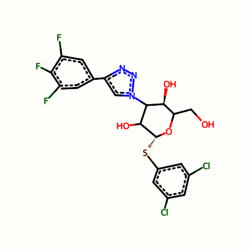 OCC1O[C@H](Sc2cc(Cl)cc(Cl)c2)C(O)C(n2cc(-c3cc(F)c(F)c(F)c3)nn2)[C@H]1O